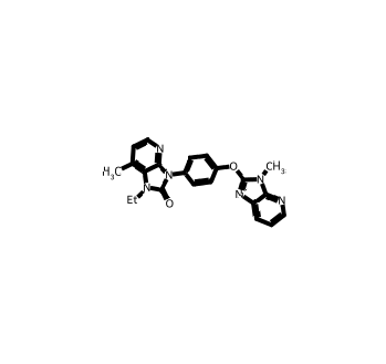 CCn1c(=O)n(-c2ccc(Oc3nc4cccnc4n3C)cc2)c2nccc(C)c21